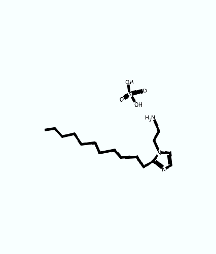 CCCCCCCCCCCc1nccn1CCN.O=S(=O)(O)O